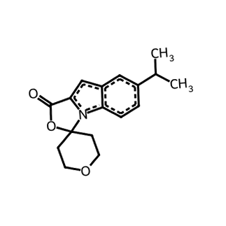 CC(C)c1ccc2c(c1)cc1n2C2(CCOCC2)OC1=O